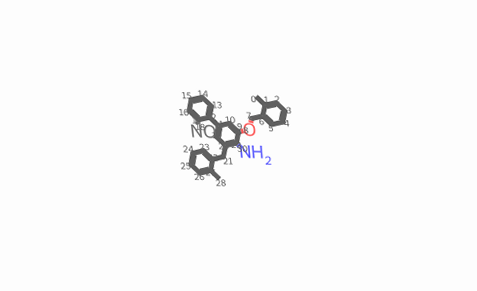 Cc1ccccc1COc1cc(-c2ccccc2N=O)cc(Cc2ccccc2C)c1N